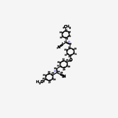 Cc1ccc(/C(C#N)=C/c2ccc(Oc3ccc(/C=C(\C#N)c4ccc(C)cc4)cc3)cc2)cc1